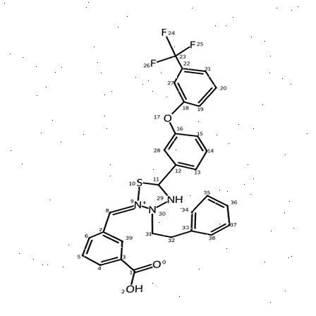 O=C(O)c1cccc(C=[N+]2SC(c3cccc(Oc4cccc(C(F)(F)F)c4)c3)NN2CCc2ccccc2)c1